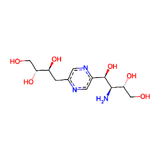 N[C@H]([C@H](O)CO)[C@H](O)c1cnc(C[C@H](O)[C@H](O)CO)cn1